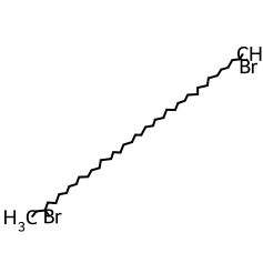 CCC(Br)CCCCCCCCCCCCCCCCCCCCCCCCCCCCCCCCCCCC(C)Br